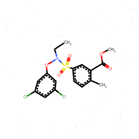 CCN(Oc1cc(Cl)cc(Cl)c1)S(=O)(=O)c1ccc(C)c(C(=O)OC)c1